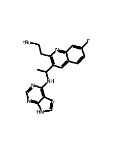 CC(Nc1ncnc2[nH]cnc12)c1cc2ccc(F)cc2nc1CCC(C)(C)C